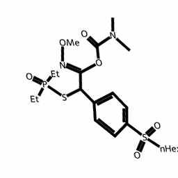 CCCCCCS(=O)(=O)c1ccc(C(SP(=O)(CC)CC)C(=NOC)OC(=O)N(C)C)cc1